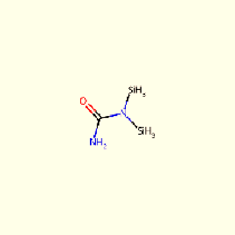 NC(=O)N([SiH3])[SiH3]